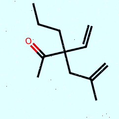 C=CC(CCC)(CC(=C)C)C(C)=O